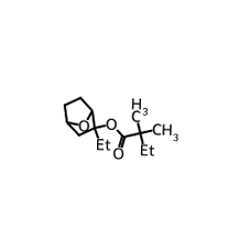 CCC(C)(C)C(=O)OC1(CC)CC2CCC1O2